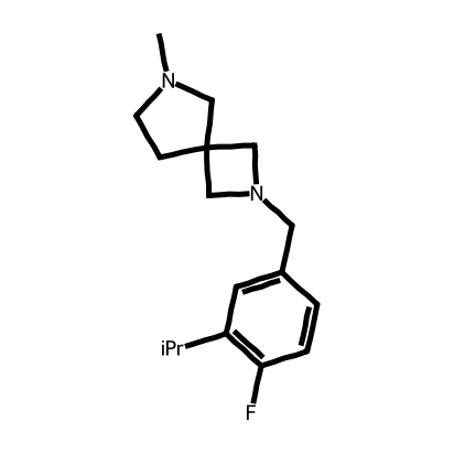 CC(C)c1cc(CN2CC3(CCN(C)C3)C2)ccc1F